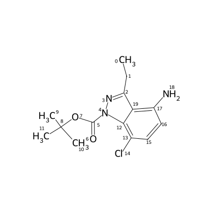 CCc1nn(C(=O)OC(C)(C)C)c2c(Cl)ccc(N)c12